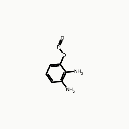 Nc1cccc(OP=O)c1N